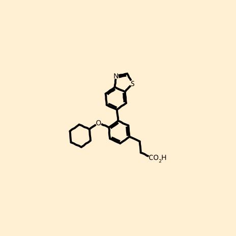 O=C(O)CCc1ccc(OC2CCCCC2)c(-c2ccc3ncsc3c2)c1